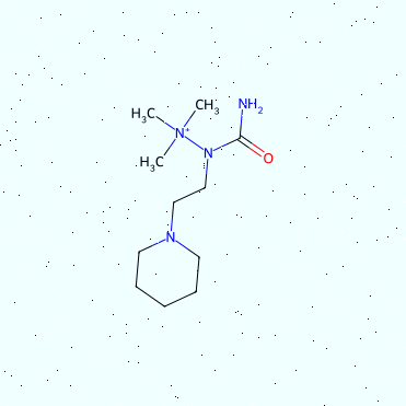 C[N+](C)(C)N(CCN1CCCCC1)C(N)=O